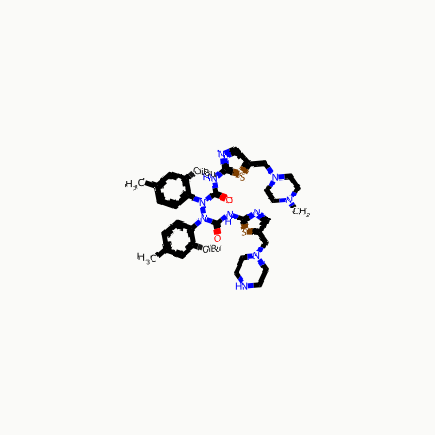 Cc1ccc(N(C(=O)Nc2ncc(CN3CCNCC3)s2)N(C(=O)Nc2ncc(CN3CCN(C)CC3)s2)c2ccc(C)cc2OCC(C)C)c(OCC(C)C)c1